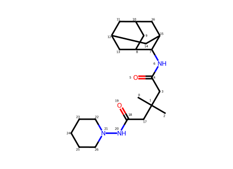 CC(C)(CC(=O)NC1C2CC3CC(C2)CC1C3)CC(=O)NN1CCCCC1